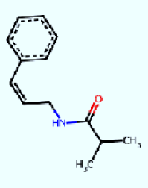 CC(C)C(=O)NC/C=C\c1ccccc1